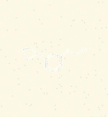 BrCOc1cccc(C2CCC2)c1